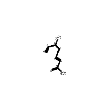 C=CC(CC)CC=CC(=C)CC